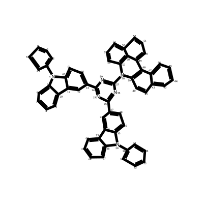 c1ccc(-n2c3ccccc3c3cc(-c4nc(-c5ccc6c(c5)c5ccccc5n6-c5ccccc5)nc(N5c6ccc7ccccc7c6-c6cccc7cccc5c67)n4)ccc32)cc1